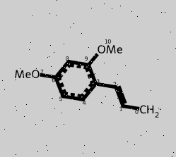 [CH2]/C=C/c1ccc(OC)cc1OC